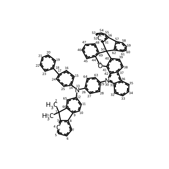 CC1(C)c2ccccc2-c2ccc(N(c3ccc(-c4ccccc4)cc3)c3ccc(-n4c5ccccc5c5ccc6c(c54)Oc4ccccc4C64c5ccccc5-c5ccccc54)cc3)cc21